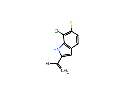 C=C(CC)c1cc2ccc(F)c(Cl)c2[nH]1